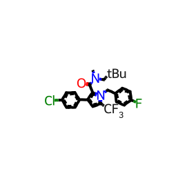 CN(CC(C)(C)C)C(=O)c1c(-c2ccc(Cl)cc2)cc(C(F)(F)F)n1Cc1ccc(F)cc1